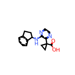 O=C(O)C1(c2nccnc2NC2CCc3ccccc32)CC1